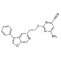 N#Cc1cc(N)nc(SCCc2cc3c(-c4ccccc4)coc3cn2)n1